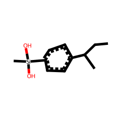 CCC(C)c1ccc([Si](C)(O)O)cc1